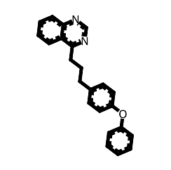 c1ccc(Oc2ccc(CCCc3ncnc4ccccc34)cc2)cc1